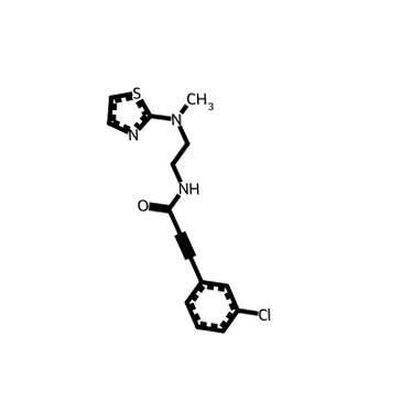 CN(CCNC(=O)C#Cc1cccc(Cl)c1)c1nccs1